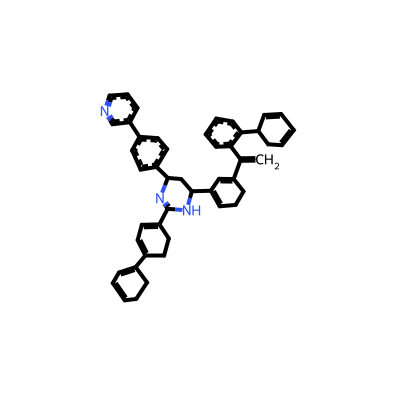 C=C(C1=CC(C2CC(c3ccc(-c4cccnc4)cc3)N=C(C3=CC=C(C4=CC=CCC4)CC3)N2)=CCC1)c1ccccc1C1C=CC=CC1